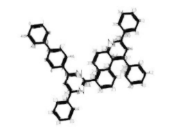 c1ccc(-c2ccc(-c3cc(-c4ccccc4)nc(-c4cccc5c4ccc4nc(-c6ccccc6)cc(-c6ccccc6)c45)n3)cc2)cc1